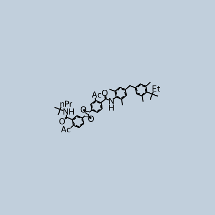 CCCC(C)(C)NC(=O)c1cc(S(=O)(=O)c2ccc(C(=O)Nc3c(C)cc(Cc4cc(C)c(C(C)(C)CC)c(C)c4)cc3C)c(C(C)=O)c2)ccc1C(C)=O